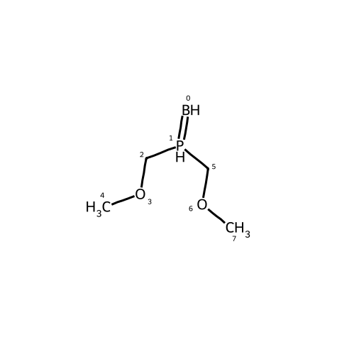 B=[PH](COC)COC